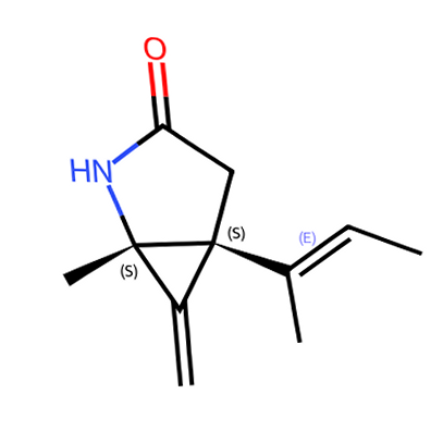 C=C1[C@]2(C)NC(=O)C[C@]12/C(C)=C/C